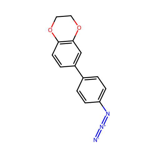 [N-]=[N+]=Nc1ccc(-c2ccc3c(c2)OCCO3)cc1